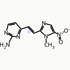 Cn1c([N+](=O)[O-])cnc1/C=C/c1ccnc(N)n1